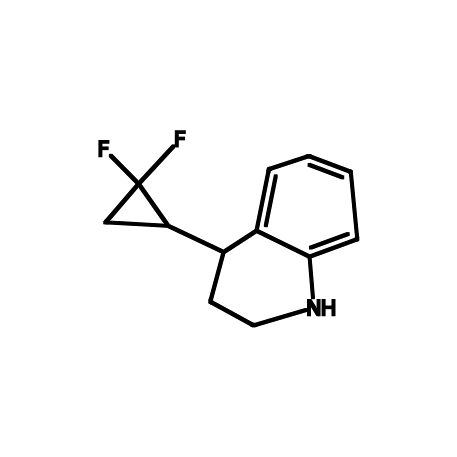 FC1(F)CC1C1CCNc2ccccc21